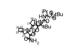 CC(C)[C@@H](CS(=O)(=O)C(C)(C)C)NC(=O)N[C@H](C(=O)N1CCC[C@H]1C(=O)NC(CC1CCC1)C(=O)C(N)=O)C(C)(C)C